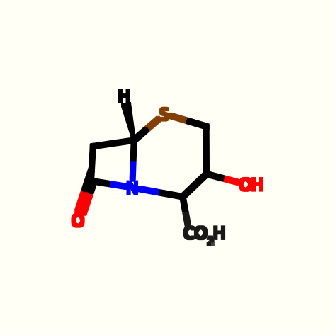 O=C(O)C1C(O)CS[C@H]2CC(=O)N12